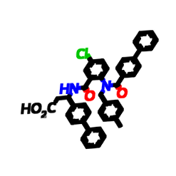 Cc1ccc(CN(C(=O)c2ccc(-c3ccccc3)cc2)c2ccc(Cl)cc2C(=O)NC(CC(=O)O)c2ccc(-c3ccccc3)cc2)cc1